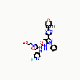 COCCN1C[C@@H](NC(=O)Nc2c(C)c(-c3cnc(C4C5CC[C@@H]4COC5)nc3)nn2-c2ccccc2)[C@H](c2ccnc(F)c2)O1